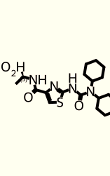 C[C@H](NC(=O)c1csc(NC(=O)N(C2CCCCC2)C2CCCCC2)n1)C(=O)O